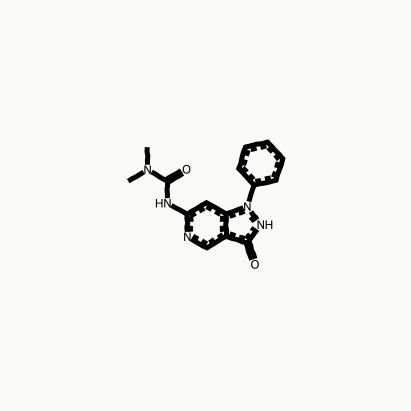 CN(C)C(=O)Nc1cc2c(cn1)c(=O)[nH]n2-c1ccccc1